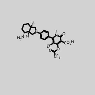 CCc1c(-c2ccc(N3C[C@H]4CCC[C@@H](N)[C@H]4C3)cc2)[nH]c(=O)c(C(=O)O)c1OC(=O)C(F)(F)F